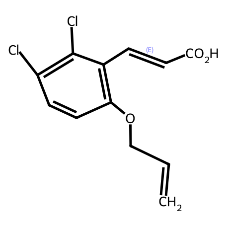 C=CCOc1ccc(Cl)c(Cl)c1/C=C/C(=O)O